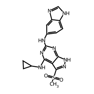 CS(=O)(=O)c1n[nH]c2nc(Nc3ccc4[nH]cnc4c3)nc(NC3CC3)c12